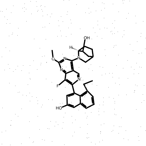 CCc1cccc2cc(O)cc(-c3ncc4c(N5CC6CC[C@H]5C(O)C6)nc(OC)nc4c3F)c12